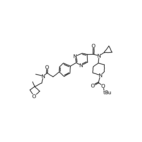 CN(CC1(C)COC1)C(=O)Cc1ccc(-c2ncc(C(=O)N(C3CC3)C3CCN(C(=O)OC(C)(C)C)CC3)cn2)cc1